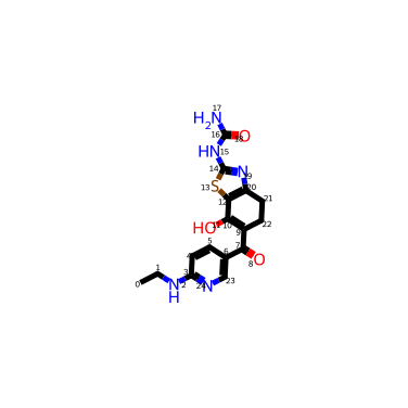 CCNc1ccc(C(=O)C2=C(O)c3sc(NC(N)=O)nc3CC2)cn1